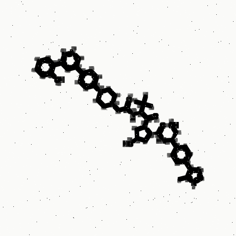 Cc1ncsc1-c1ccc([C@H](CO)NC(=O)[C@@H]2C[C@@H](O)CN2C(=O)[C@@H](NC(=O)CN2CCN(c3ccc(-c4cnnc(-c5ccccc5O)c4)cc3)CC2)C(C)(C)C)cc1